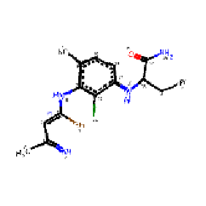 CC(=N)/C=C(\S)Nc1c(C#N)ccc(NC(CC(C)C)C(N)=O)c1F